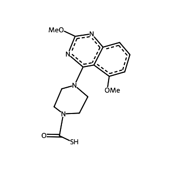 COc1nc(N2CCN(C(=O)S)CC2)c2c(OC)cccc2n1